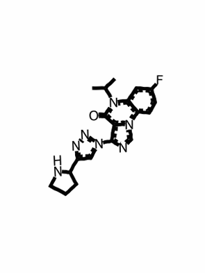 CC(C)n1c(=O)c2c(-n3cc(C4CCCN4)nn3)ncn2c2ccc(F)cc21